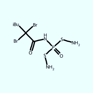 CCC(C)C(Br)(Br)C(=O)NP(=O)(SN)SN